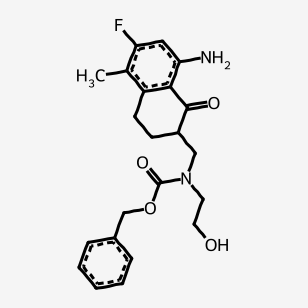 Cc1c(F)cc(N)c2c1CCC(CN(CCO)C(=O)OCc1ccccc1)C2=O